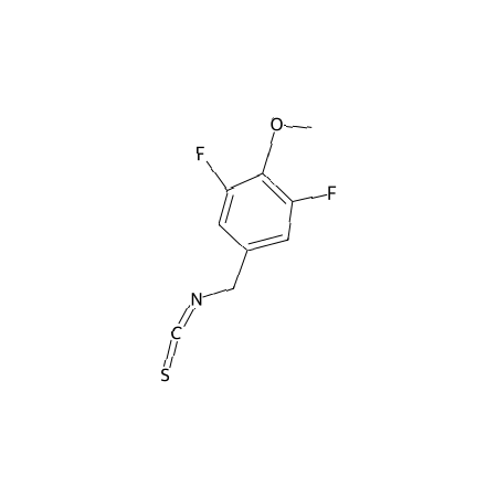 COc1c(F)cc(CN=C=S)cc1F